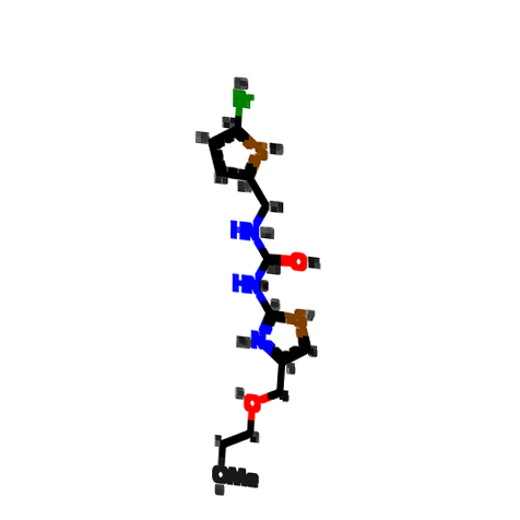 COCCOCc1csc(NC(=O)NCc2ccc(Br)s2)n1